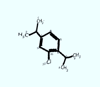 [CH2]C(C)c1ccc(C(C)C)c(Cl)c1